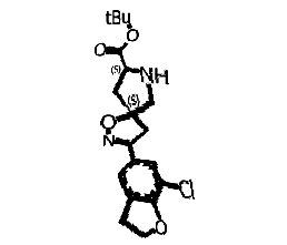 CC(C)(C)OC(=O)[C@@H]1C[C@@]2(CN1)CC(c1cc(Cl)c3c(c1)CCO3)=NO2